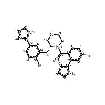 Cc1ccc(C(=O)N2CCOC[C@H]2Cc2cc(-n3nccn3)ccc2C)c(-n2nccn2)c1